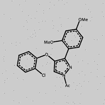 COc1ccc(-c2nn(C(C)=O)cc2Oc2ccccc2Cl)c(OC)c1